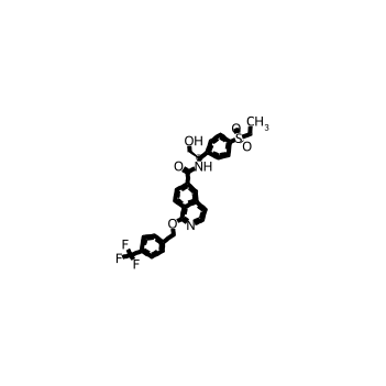 CCS(=O)(=O)c1ccc([C@H](CO)NC(=O)c2ccc3c(OCc4ccc(C(F)(F)F)cc4)nccc3c2)cc1